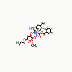 CCOC(=O)/C=C(/ONC(=N)C1(NC(=O)OCc2ccccc2)CCC(CCl)CC1)C(=O)OCC